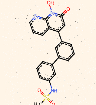 CS(=O)(=O)Nc1cccc(-c2cccc(-c3cc(=O)n(O)c4ncccc34)c2)c1